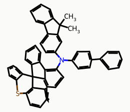 CC1(C)c2ccccc2-c2ccc(N(c3ccc(-c4ccccc4)cc3)c3cccc4c3-c3ccccc3C43c4ccccc4Sc4ccc5ccccc5c43)cc21